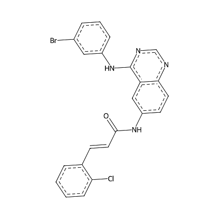 O=C(C=Cc1ccccc1Cl)Nc1ccc2ncnc(Nc3cccc(Br)c3)c2c1